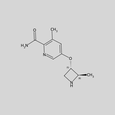 Cc1cc(O[C@H]2CN[C@@H]2C)cnc1C(N)=O